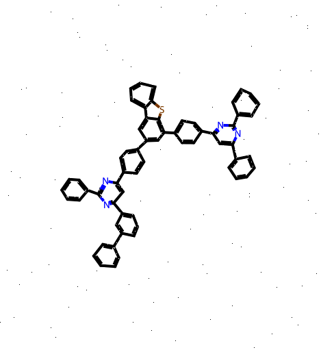 c1ccc(-c2cccc(-c3cc(-c4ccc(-c5cc(-c6ccc(-c7cc(-c8ccccc8)nc(-c8ccccc8)n7)cc6)c6sc7ccccc7c6c5)cc4)nc(-c4ccccc4)n3)c2)cc1